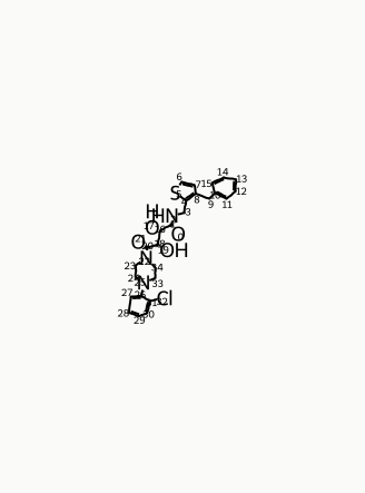 O=C(NCc1sccc1Cc1ccccc1)[C@H](O)[C@@H](O)C(=O)N1CCN(c2ccccc2Cl)CC1